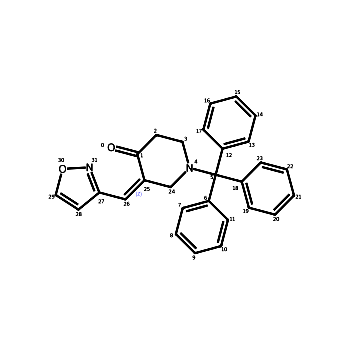 O=C1CCN(C(c2ccccc2)(c2ccccc2)c2ccccc2)C/C1=C/c1ccon1